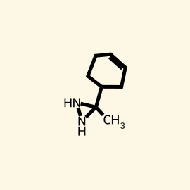 CC1(C2CC=CCC2)NN1